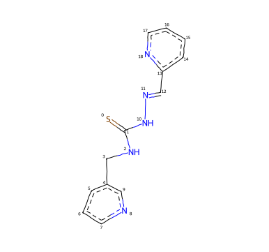 S=C(NCc1cccnc1)N/N=C/c1ccccn1